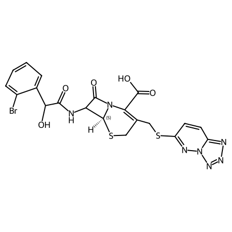 O=C(O)C1=C(CSc2ccc3nnnn3n2)CS[C@H]2C(NC(=O)C(O)c3ccccc3Br)C(=O)N12